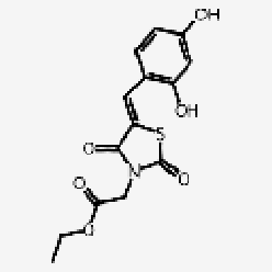 CCOC(=O)CN1C(=O)SC(=Cc2ccc(O)cc2O)C1=O